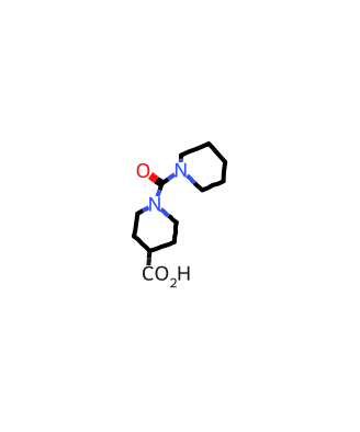 O=C(O)C1CCN(C(=O)N2CCCCC2)CC1